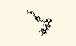 Cc1cc(-c2nnc3c4ccccc4c(OCc4ccc(CCO)cn4)nn23)no1